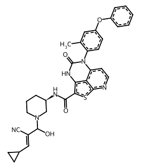 Cc1cc(Oc2ccccc2)ccc1N1C(=O)Nc2c(C(=O)N[C@@H]3CCCN(C(O)/C(C#N)=C/C4CC4)C3)sc3nccc1c23